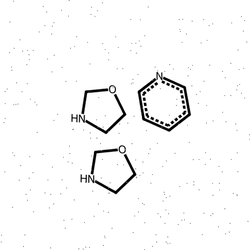 C1COCN1.C1COCN1.c1ccncc1